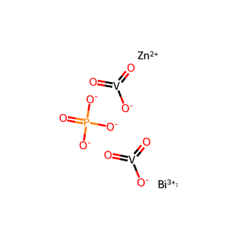 O=P([O-])([O-])[O-].[Bi+3].[O]=[V](=[O])[O-].[O]=[V](=[O])[O-].[Zn+2]